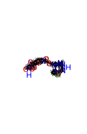 Cc1nc(Nc2ncc(C(=O)Nc3c(C)cccc3Cl)s2)cc(N2CCN(CCOCCC(=O)N3CCC4(CCc5cc6c(cc5O4)C(=O)N(C4CCC(=O)NC4=O)C6=O)CC3)CC2)n1